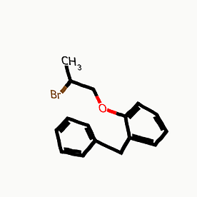 CC(Br)COc1ccccc1Cc1ccccc1